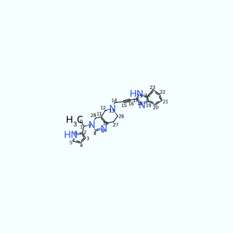 CC(c1ccc[nH]1)N1C=NC2=C(CN(CC#Cc3nc4ccccc4[nH]3)CC2)C1